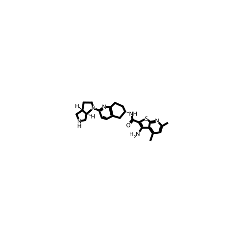 Cc1cc(C)c2c(N)c(C(=O)N[C@H]3CCc4nc(N5CC[C@@H]6CNC[C@@H]65)ccc4C3)sc2n1